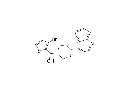 OC(c1sccc1Br)C1CCC(c2ccnc3ccccc23)CC1